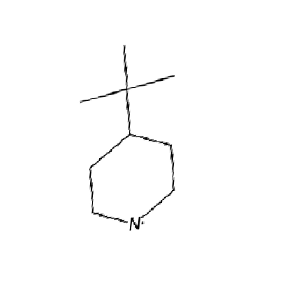 CC(C)(C)C1CC[N]CC1